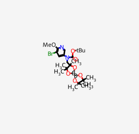 COc1ncc(N(CC2(C)OB(B3OC(C)(C)C(C)(C)O3)OC2(C)C)C(=O)OC(C)(C)C)cc1Br